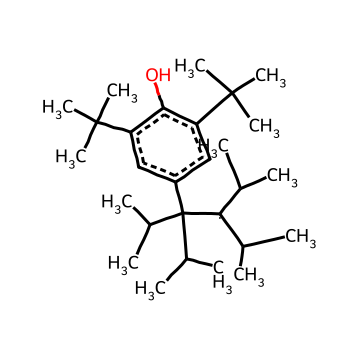 CC(C)[C](C(C)C)C(c1cc(C(C)(C)C)c(O)c(C(C)(C)C)c1)(C(C)C)C(C)C